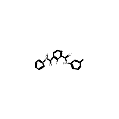 Cc1cccc(NC(=O)c2cccc(C(=O)Nc3ccccc3)c2F)c1